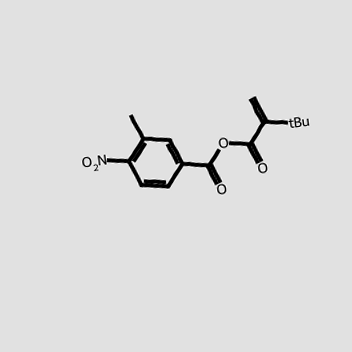 C=C(C(=O)OC(=O)c1ccc([N+](=O)[O-])c(C)c1)C(C)(C)C